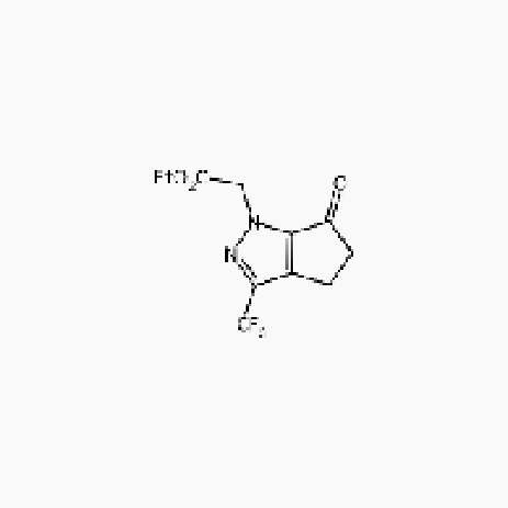 CCOC(=O)Cn1nc(C(F)(F)F)c2c1C(=O)CC2